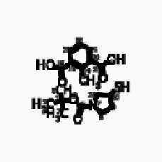 CC(C)(C)OC(=O)N1CCC(S)C1.Cc1c(C(=O)O)cccc1C(=O)O